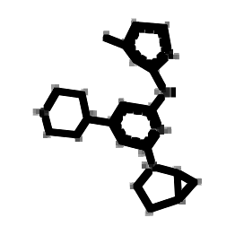 Cc1ccnc(Nc2cc(C3CCOCC3)cc(N3CCC4CC43)n2)c1